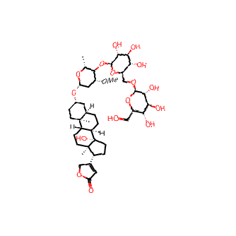 CO[C@@H]1C[C@H](O[C@H]2CC[C@@]3(C)[C@H](CC[C@@H]4[C@@H]3CC[C@]3(C)[C@@H](C5=CC(=O)OC5)CC[C@]43O)C2)O[C@H](C)[C@H]1O[C@@H]1O[C@H](CO[C@@H]2O[C@H](CO)[C@@H](O)[C@H](O)[C@H]2O)[C@@H](O)[C@H](O)[C@H]1O